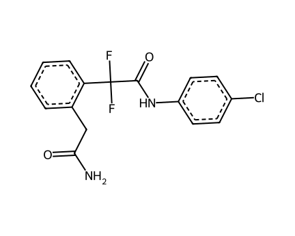 NC(=O)Cc1ccccc1C(F)(F)C(=O)Nc1ccc(Cl)cc1